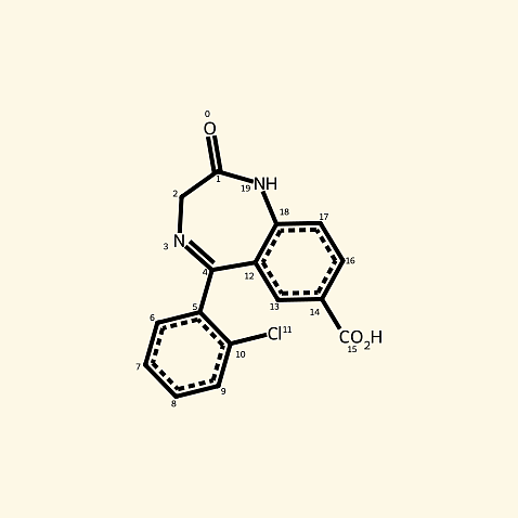 O=C1CN=C(c2ccccc2Cl)c2cc(C(=O)O)ccc2N1